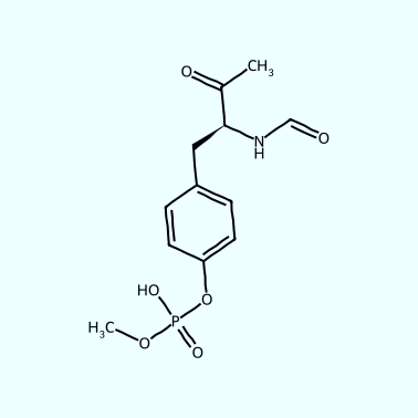 COP(=O)(O)Oc1ccc(C[C@H](NC=O)C(C)=O)cc1